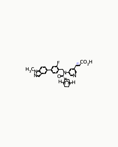 Cn1ncc2cc(-c3ccc(CN(C(=O)[C@@H]4C[C@@H]5CC[C@H]4C5)c4cncc(/C=C/C(=O)O)c4)c(F)c3)ccc21